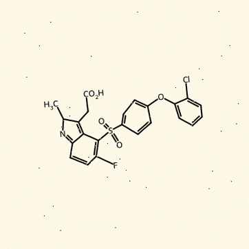 CC1N=c2ccc(F)c(S(=O)(=O)c3ccc(Oc4ccccc4Cl)cc3)c2=C1CC(=O)O